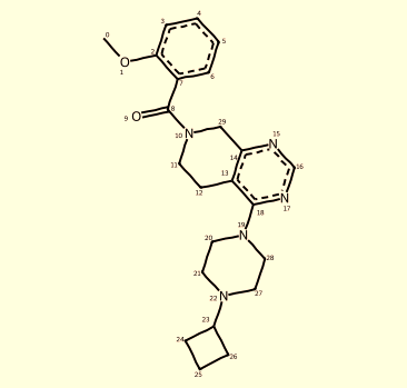 COc1ccccc1C(=O)N1CCc2c(ncnc2N2CCN(C3CCC3)CC2)C1